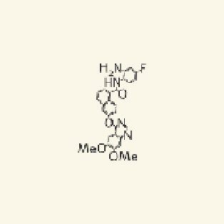 COc1cc2ncnc(Oc3ccc4c(C(=O)Nc5ccc(F)cc5N)cccc4c3)c2cc1OC